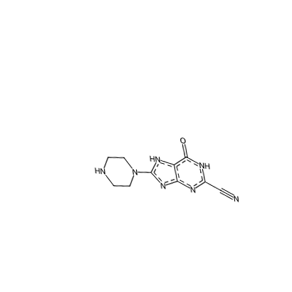 N#Cc1nc2nc(N3CCNCC3)[nH]c2c(=O)[nH]1